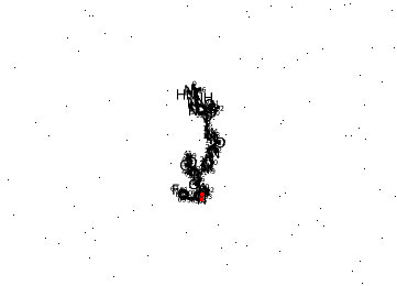 Cc1n[nH]c(Nc2ncnc3cc(OCCCN4CCN(C(=O)c5ccc(N6CCN(C[C@H]7CN(C(=O)OC(C)(C)C)[C@H](C)CN7CC(=O)N7CC(C)(C)c8ncc(Cc9ccc(F)cc9)cc87)[C@H](C)C6)nc5)CC4)c(S(=O)(=O)C(C)(C)C)cc23)c1C